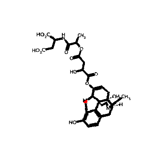 CC(OC(=O)CC(O)C(=O)OC1=CC[C@@]2(O)[C@H]3Cc4ccc(O)c5c4[C@@]2(CCN3C)[C@H]1O5)C(=O)NC(CC(=O)O)C(=O)O